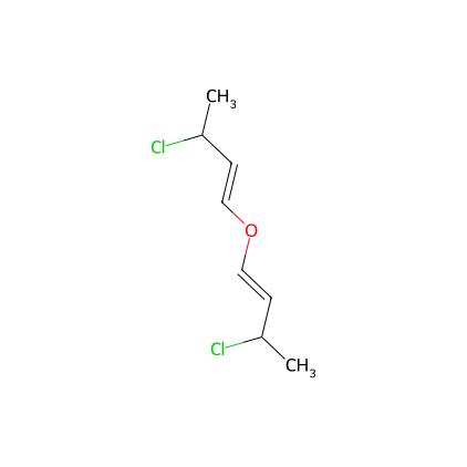 CC(Cl)C=COC=CC(C)Cl